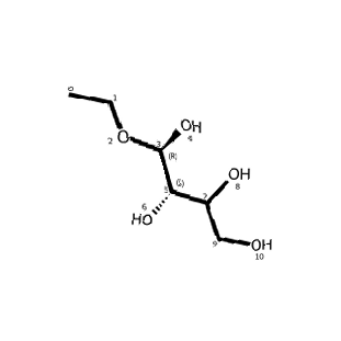 CCO[C@@H](O)[C@@H](O)C(O)CO